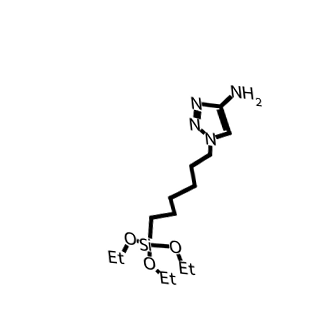 CCO[Si](CCCCCCn1cc(N)nn1)(OCC)OCC